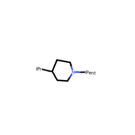 CCCC(C)N1CCC(C(C)C)CC1